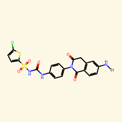 CCNc1ccc2c(c1)CC(=O)N(c1ccc(NC(=O)NS(=O)(=O)c3ccc(Cl)s3)cc1)C2=O